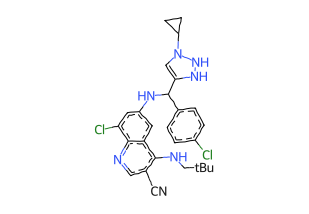 CC(C)(C)CNc1c(C#N)cnc2c(Cl)cc(NC(C3=CN(C4CC4)NN3)c3ccc(Cl)cc3)cc12